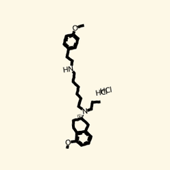 CCCN(CCCCCCNCCc1ccc(OC)cc1)[C@H]1CCc2c(cccc2OC)C1.Cl.Cl